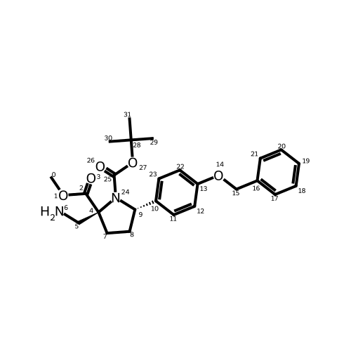 COC(=O)[C@@]1(CN)CC[C@@H](c2ccc(OCc3ccccc3)cc2)N1C(=O)OC(C)(C)C